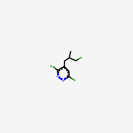 CC(CBr)Cc1cc(Br)nnc1Br